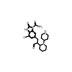 NC(=O)n1c(=O)[nH]c2c(Cl)cc(C[C](C=O)C3CCCCN3C3CCNCC3)cc21